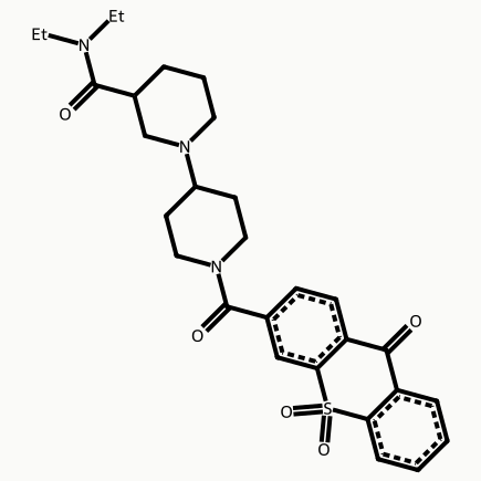 CCN(CC)C(=O)C1CCCN(C2CCN(C(=O)c3ccc4c(c3)S(=O)(=O)c3ccccc3C4=O)CC2)C1